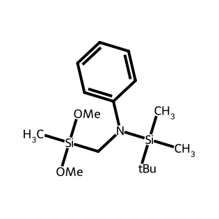 CO[Si](C)(CN(c1ccccc1)[Si](C)(C)C(C)(C)C)OC